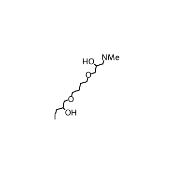 CNCC(O)COCCCCOCC(O)CI